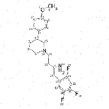 COc1ccc(C2CCCN(CC[C@H](N)Cc3cc(F)c(F)cc3F)C2)cc1